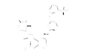 Cc1nc(N(C)Cc2cc(Br)c3c(c2)CN(C2CCC(=O)NC2=O)C3=O)sc1-c1nc(Nc2cccc(S(N)(=O)=O)c2)ncc1F